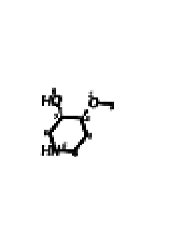 CO[C@@H]1CCNC[C@@H]1O